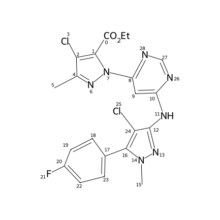 CCOC(=O)c1c(Cl)c(C)nn1-c1cc(Nc2nn(C)c(-c3ccc(F)cc3)c2Cl)ncn1